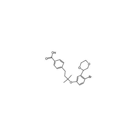 CC(C)(CCc1ccc(C(=O)O)cc1)Oc1ccc(Br)c(C2COCCO2)c1